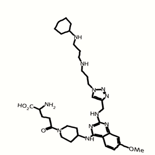 COc1ccc2c(NC3CCN(C(=O)CCC(N)C(=O)O)CC3)nc(NCc3cn(CCCNCCCNC4CCCCC4)nn3)nc2c1